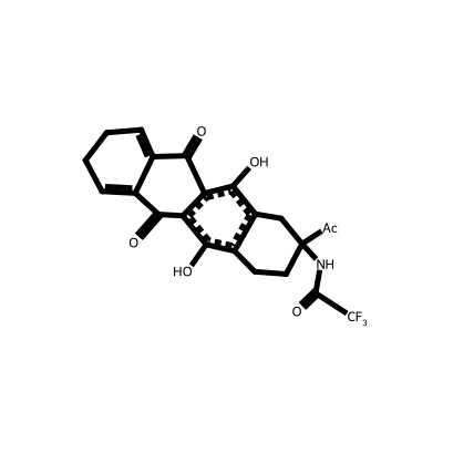 CC(=O)C1(NC(=O)C(F)(F)F)CCc2c(O)c3c(c(O)c2C1)C(=O)C1=CCCC=C1C3=O